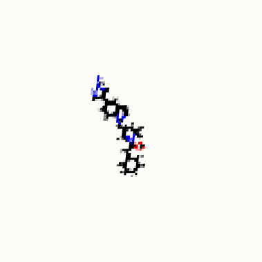 CC1(C)CC(Cn2ccc3cc(-c4cn[nH]c4)ccc32)CN1C(=O)CC1CCCCC1